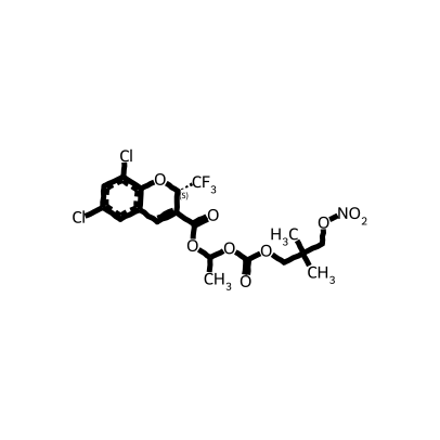 CC(OC(=O)OCC(C)(C)CO[N+](=O)[O-])OC(=O)C1=Cc2cc(Cl)cc(Cl)c2O[C@@H]1C(F)(F)F